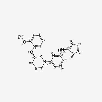 CCOc1ccccc1O[C@@H]1CCCN(c2cncc(Nc3nccs3)n2)C1